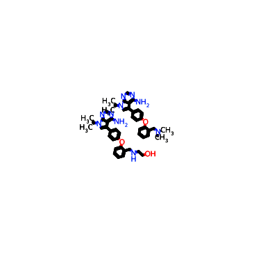 CC(C)n1cc(-c2ccc(Oc3ccccc3CN(C)C)cc2)c2c(N)ncnc21.CC(C)n1cc(-c2ccc(Oc3ccccc3CNCCO)cc2)c2c(N)ncnc21